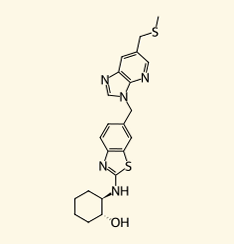 CSCc1cnc2c(c1)ncn2Cc1ccc2nc(N[C@@H]3CCCC[C@H]3O)sc2c1